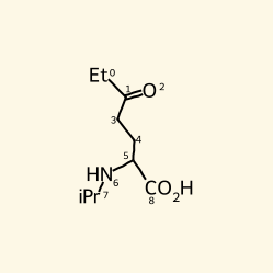 CCC(=O)CCC(NC(C)C)C(=O)O